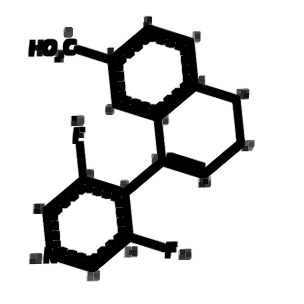 O=C(O)c1ccc2c(c1)C(c1c(F)cncc1F)=CCC2